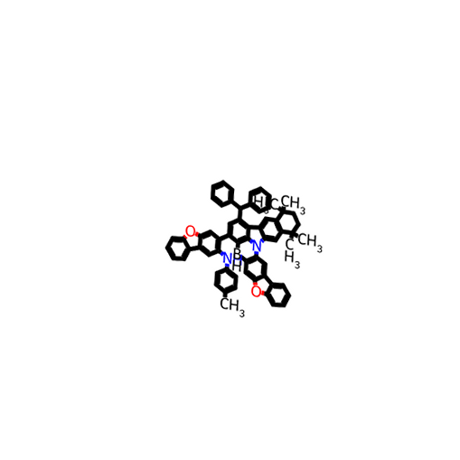 Cc1ccc(Nc2cc3c(cc2-c2cc(C(c4ccccc4)c4ccccc4)c4c5cc6c(cc5n5c4c2Bc2cc4oc7ccccc7c4cc2-5)C(C)(C)CCC6(C)C)oc2ccccc23)cc1